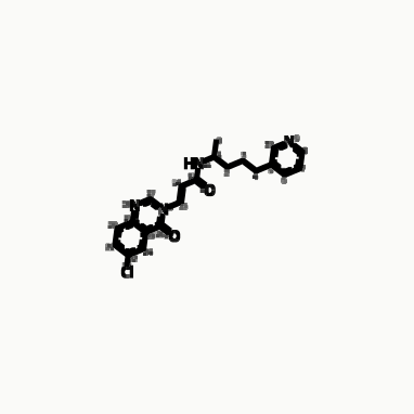 CC(CCCc1cccnc1)NC(=O)C=Cn1cnc2ccc(Cl)cc2c1=O